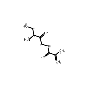 C=C(C)C(=O)NCC(=O)C(N)CO